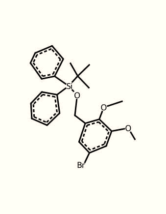 COc1cc(Br)cc(CO[Si](c2ccccc2)(c2ccccc2)C(C)(C)C)c1OC